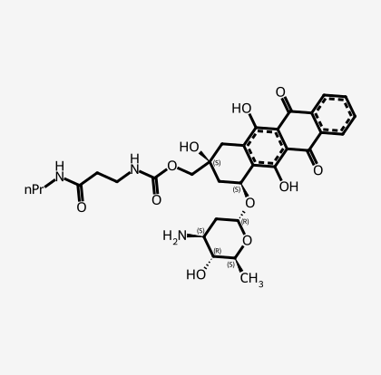 CCCNC(=O)CCNC(=O)OC[C@]1(O)Cc2c(O)c3c(c(O)c2[C@@H](O[C@H]2C[C@H](N)[C@@H](O)[C@H](C)O2)C1)C(=O)c1ccccc1C3=O